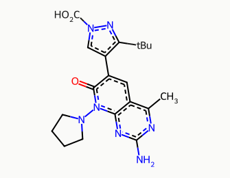 Cc1nc(N)nc2c1cc(-c1cn(C(=O)O)nc1C(C)(C)C)c(=O)n2N1CCCC1